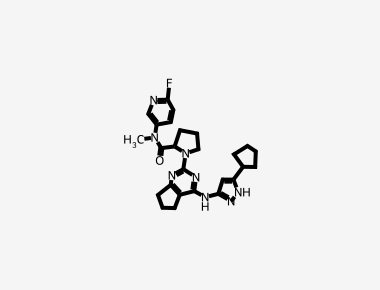 CN(C(=O)C1CCCN1c1nc2c(c(Nc3cc(C4CCCC4)[nH]n3)n1)CCC2)c1ccc(F)nc1